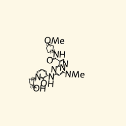 CNc1cc(Nc2cccn([C@@H]3CC[C@@H]3O)c2=O)nc2c(C(=O)N[C@H]3CC[C@H](OC)C3)cnn12